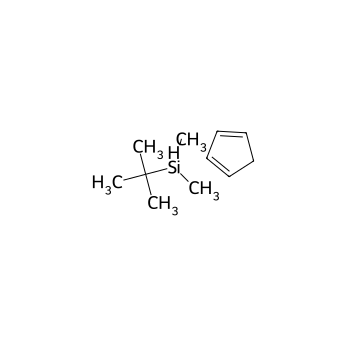 C1=CCC=C1.C[SiH](C)C(C)(C)C